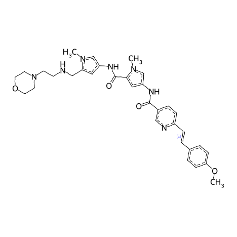 COc1ccc(/C=C/c2ccc(C(=O)Nc3cc(C(=O)Nc4cc(CNCCN5CCOCC5)n(C)c4)n(C)c3)cn2)cc1